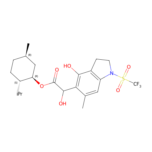 Cc1cc2c(c(O)c1C(O)C(=O)O[C@@H]1C[C@H](C)CC[C@H]1C(C)C)CCN2S(=O)(=O)C(F)(F)F